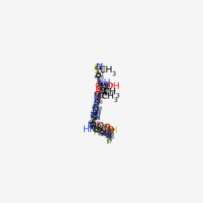 Cc1ncsc1-c1ccc(CNC(=O)[C@@H]2C[C@@H](O)CN2C(=O)C(c2cc(N3CC(N4CCN(c5ncc(-c6cnc7[nH]cc(C(=O)c8c(F)ccc(N(N9CC[C@@H](F)C9)[SH](=O)=O)c8F)c7c6)cn5)CC4)C3)no2)C(C)C)cc1